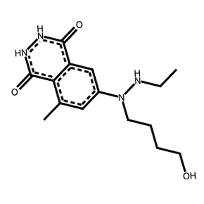 CCNN(CCCCO)c1cc(C)c2c(=O)[nH][nH]c(=O)c2c1